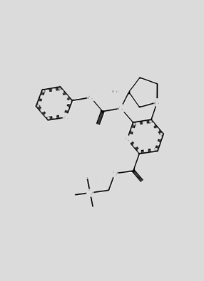 C[Si](C)(C)CNC(=O)c1ccc2c(n1)N(C(=O)Nc1ccccn1)[C@H]1CCN2C1